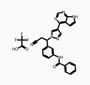 N#CCC(c1cccc(NC(=O)c2ccccc2)c1)n1cc(-c2ncnc3[nH]ccc23)cn1.O=C(O)C(F)(F)F